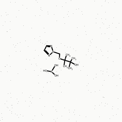 CC(C)(O)C(C)(C)OCn1nccn1.OB(O)O